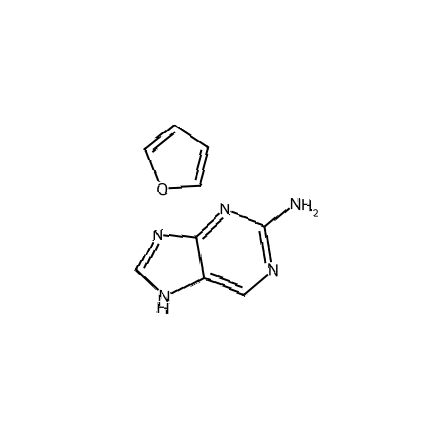 Nc1ncc2[nH]cnc2n1.c1ccoc1